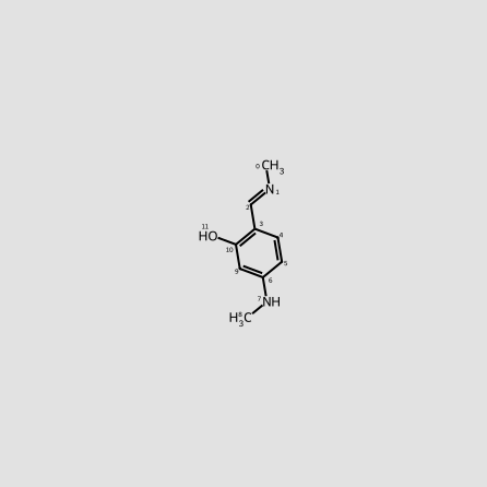 CN=Cc1ccc(NC)cc1O